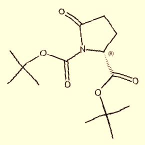 CC(C)(C)OC(=O)[C@H]1CCC(=O)N1C(=O)OC(C)(C)C